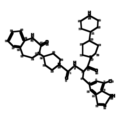 O=C(NC(Cc1cc(Cl)c2[nH]ncc2c1)C(=O)N1CCC(C2CCNCC2)CC1)N1CCC(N2CCc3ccccc3NC2=O)CC1